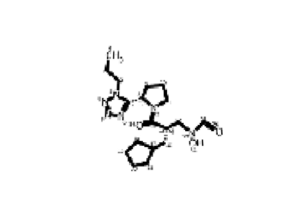 CCCn1nnnc1[C@@H]1CCCN1C(=O)[C@@H](CC1CCCC1)CN(O)C=O